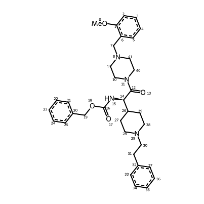 COc1ccccc1CN1CCN(C(=O)[C@H](NC(=O)OCc2ccccc2)C2CCN(CCc3ccccc3)CC2)CC1